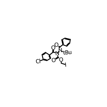 CC(C)(C)N(C(=O)c1ccccc1)N(C(=O)OCI)C(=O)c1ccc(Cl)cc1